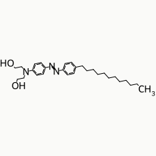 CCCCCCCCCCCCc1ccc(N=Nc2ccc(N(CCO)CCO)cc2)cc1